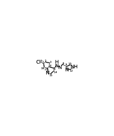 Clc1ccc2c(NN=Cc3c[nH]cn3)ccnc2c1